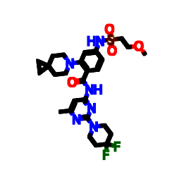 COCCS(=O)(=O)Nc1ccc(C(=O)Nc2cc(C)nc(N3CCC(F)(F)CC3)n2)c(N2CCC3(CC2)CC3)c1